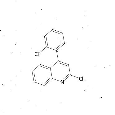 Clc1cc(-c2ccccc2Cl)c2ccccc2n1